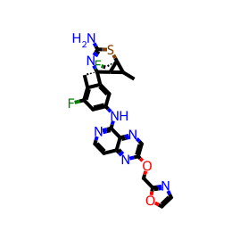 CC1C2[C@@]1(CF)SC(N)=N[C@@]21Cc2c(F)cc(Nc3nccc4nc(OCc5ncco5)cnc34)cc21